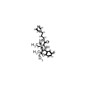 CCS(=O)(=O)C(NC1CC(C)(C)Oc2ccc(F)cc21)C(=O)NCCCn1ccnc1